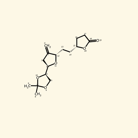 C=C1C[C@H]([C@H]2COC(C)(C)O2)O[C@H]1CC[C@@H]1CCC(=O)O1